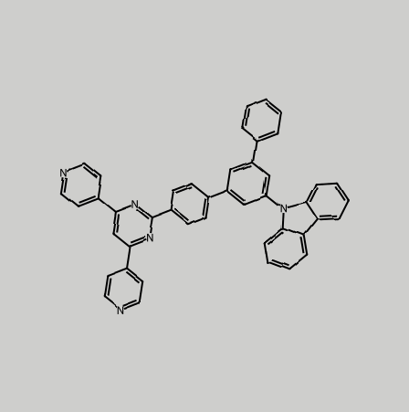 c1ccc(-c2cc(-c3ccc(-c4nc(-c5ccncc5)cc(-c5ccncc5)n4)cc3)cc(-n3c4ccccc4c4ccccc43)c2)cc1